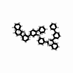 c1ccc(-c2cccc(-c3nc(-c4cccc(-n5c6ccccc6c6ccc(-c7cccc8c7sc7c9ccccc9ccc87)cc65)c4)nc4ccccc34)c2)cc1